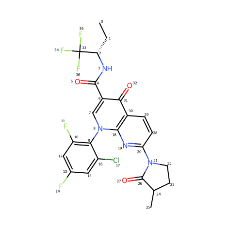 CC[C@H](NC(=O)c1cn(-c2c(F)cc(F)cc2Cl)c2nc(N3CCC(C)C3=O)ccc2c1=O)C(F)(F)F